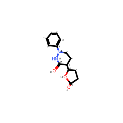 O=C1CCC(C2CCN(c3ccccc3)NC2=O)O1